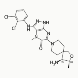 C[C@@H]1OCC2(CCN(c3nc4[nH]nc(Nc5cccc(Cl)c5Cl)c4n(C)c3=O)CC2)[C@@H]1N